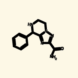 NC(=O)c1nc2n(n1)CCNC2c1ccccc1